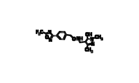 CC1=NN(C)C(O)C1CNOCc1ccc(-c2noc(C(F)(F)F)n2)cc1